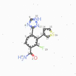 NC(=O)c1ccc(-c2nc[nH]n2)c(-c2ccsc2)c1F